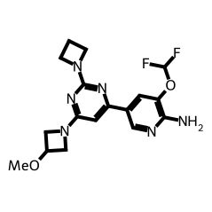 COC1CN(c2cc(-c3cnc(N)c(OC(F)F)c3)nc(N3CCC3)n2)C1